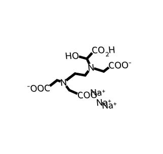 O=C([O-])CN(CCN(CC(=O)[O-])C(O)C(=O)O)CC(=O)[O-].[Na+].[Na+].[Na+]